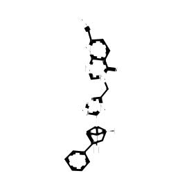 N#Cc1ccc2c(=O)n(Cc3nc([C@]45C6=C(c7ccccc7)C[C@@H]4[C@H]65)no3)cnc2n1